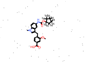 [2H]C1([2H])C([2H])([2H])C([2H])([2H])C([2H])(OC(=O)Nc2ccc3c(c2)c(Cc2ccc(C(=O)O)cc2OC)cn3C)C1([2H])[2H]